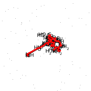 CCCC[C@H](NC(=O)[C@H](CNC(=O)CN(CC(=O)O)CC(=O)O)NC(=O)[C@H](Cc1c[nH]cn1)NC(=O)[C@H](CCC(N)=O)NC(=O)[C@H](CO)NC(=O)CNC(=O)COCCOCCNC(=O)CCCCCCCCCCCCCCCc1nnn[nH]1)C(=O)N[C@H]1CCC(=O)NCCCC[C@@H](C(N)=O)NC(=O)[C@H](Cc2c[nH]c3ccccc23)NC(=O)[C@H](CCCNC(N)N)NC(=O)[C@@H](Cc2ccccc2)NC(=O)C2C[C@@H](O)CN2C1=O